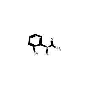 CC(C)c1ccccc1N(S)C(N)=O